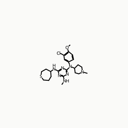 CNc1nc(NC2CCCSCC2)nc(N(c2ccc(OC)c(Cl)c2)C2CCN(C)CC2)n1